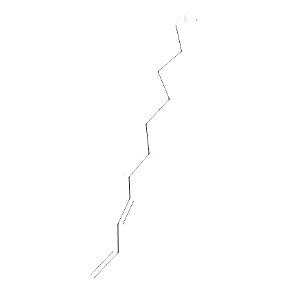 [CH]=C/C=C/CCCCCCCCCCCC